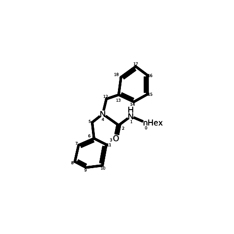 CCCCCCNC(=O)N(Cc1ccccc1)Cc1ccccc1